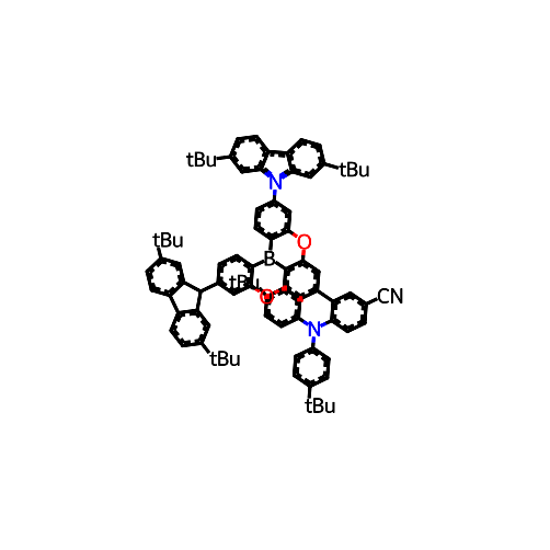 CC(C)(C)c1ccc(N(c2ccc(C(C)(C)C)cc2)c2ccc(C#N)cc2-c2cc3c4c(c2)Oc2cc(-n5c6cc(C(C)(C)C)ccc6c6ccc(C(C)(C)C)cc65)ccc2B4c2ccc(C4c5cc(C(C)(C)C)ccc5-c5ccc(C(C)(C)C)cc54)cc2O3)cc1